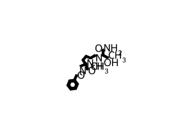 C[C@@H](O)[C@H](NCC1CCC2(CN(OCc3ccccc3)C2=O)N1C)C(N)=O